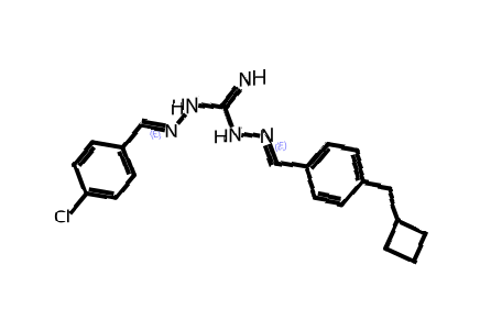 N=C(N/N=C/c1ccc(Cl)cc1)N/N=C/c1ccc(CC2CCC2)cc1